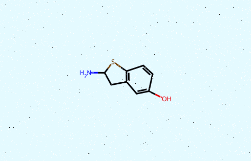 NC1Cc2cc(O)ccc2S1